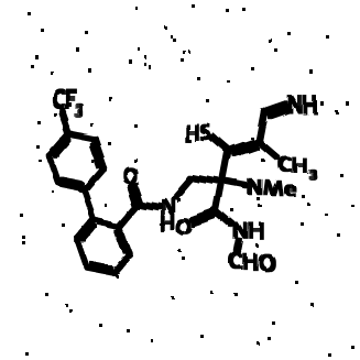 CNC(CNC(=O)c1ccccc1-c1ccc(C(F)(F)F)cc1)(C(=O)NC=O)/C(S)=C(\C)C=N